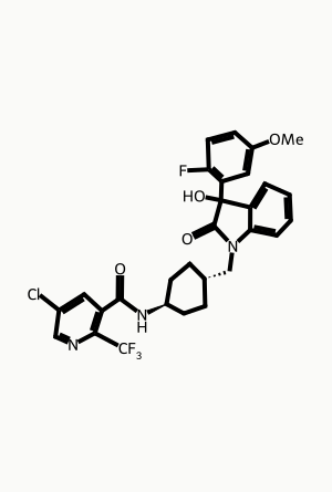 COc1ccc(F)c(C2(O)C(=O)N(C[C@H]3CC[C@H](NC(=O)c4cc(Cl)cnc4C(F)(F)F)CC3)c3ccccc32)c1